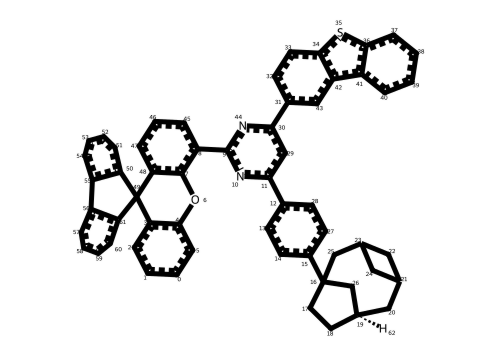 c1ccc2c(c1)Oc1c(-c3nc(-c4ccc(C56CC[C@H](CC7CC(C7)C5)C6)cc4)cc(-c4ccc5sc6ccccc6c5c4)n3)cccc1C21c2ccccc2-c2ccccc21